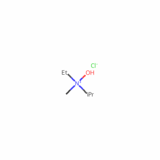 CC[N+](C)(O)C(C)C.[Cl-]